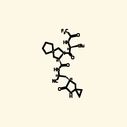 CC(C)(C)[C@H](NC(=O)C(F)(F)F)C(=O)N1CS2(CCCC2)C[C@H]1C(=O)N[C@H](C#N)C[C@@H]1CC2(CC2)NC1=O